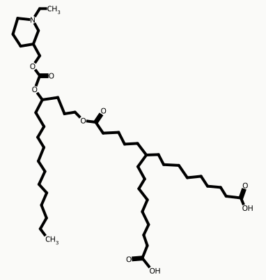 CCCCCCCCCCCCC(CCCOC(=O)CCCCC(CCCCCCCCC(=O)O)CCCCCCCCC(=O)O)OC(=O)OCC1CCCN(CC)C1